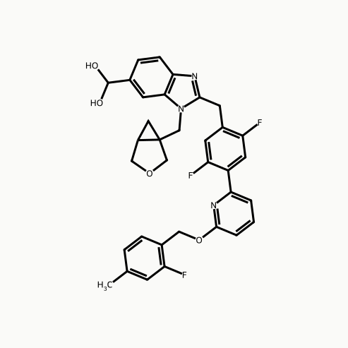 Cc1ccc(COc2cccc(-c3cc(F)c(Cc4nc5ccc(C(O)O)cc5n4CC45COCC4C5)cc3F)n2)c(F)c1